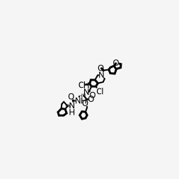 O=C(NC[C@H](NC(=O)c1c(Cl)cc2c(c1Cl)CCN(C(=O)c1ccc3ccoc3c1)C2)C(=O)OCc1ccccc1)N[C@@H]1CCc2ccccc21